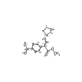 COC(=O)/C(=N/O[C@@H]1CCOC1)c1ccc([N+](=O)[O-])cc1